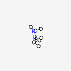 C1=CN2B(C=C1c1cc(-c3ccccc3)cc(-c3ccccc3)n1)c1c(ccc3ccccc13)-c1c(-c3ccccc3)cccc12